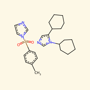 Cc1ccc(S(=O)(=O)n2ccnc2)cc1.c1ncn(C2CCCCC2)c1C1CCCCC1